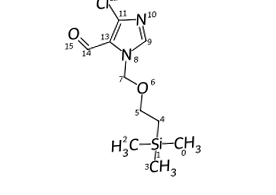 C[Si](C)(C)CCOCn1cnc(Cl)c1C=O